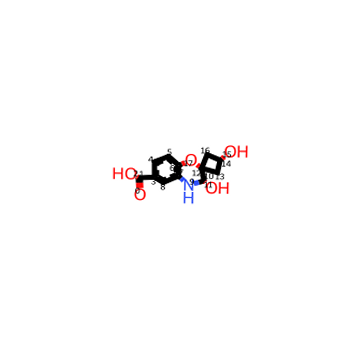 O=C(O)c1ccc2c(c1)NC(O)C1(CC(O)C1)O2